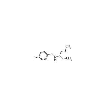 CCC(CSC)NCc1ccc(F)cc1